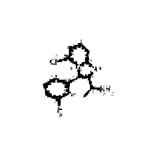 CC(N)c1nc2cccc(Cl)n2c1-c1cccc(F)c1